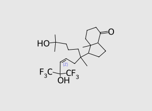 CC(C)(O)CCCC(C)(C/C=C\C(O)(C(F)(F)F)C(F)(F)F)C1CCC2C(=O)CCCC21C